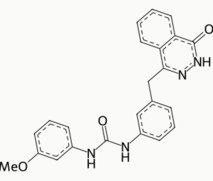 COc1cccc(NC(=O)Nc2cccc(Cc3n[nH]c(=O)c4ccccc34)c2)c1